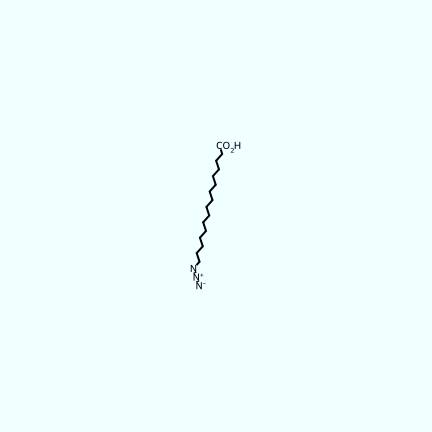 [N-]=[N+]=NCCCCCCCCCCCCCCCC(=O)O